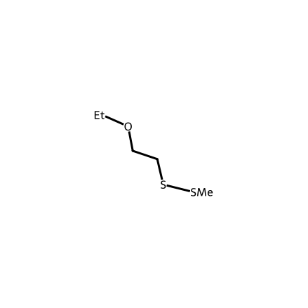 CCOCCSSC